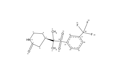 CC(C)([C@@H]1CCNC(=O)C1)S(=O)(=O)c1cccc(C(F)(F)F)c1